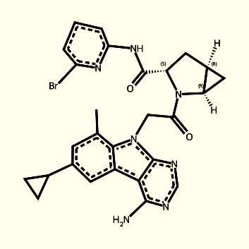 Cc1cc(C2CC2)cc2c3c(N)ncnc3n(CC(=O)N3[C@@H]4C[C@@H]4C[C@H]3C(=O)Nc3cccc(Br)n3)c12